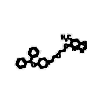 Cc1cc2ncnn2nc1OCCOCCN1CCC(OC(c2ccccc2)c2ccccc2)CC1